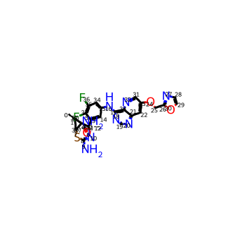 C[C@H]1C2[C@@]1(C(N)=O)SC(N)=N[C@]2(C)c1cc(Nc2ncnc3cc(OCc4ncco4)cnc23)cc(F)c1F